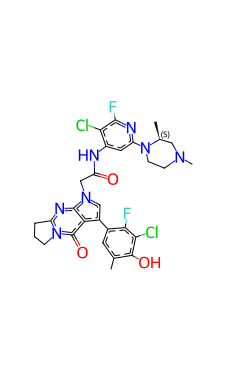 Cc1cc(-c2cn(CC(=O)Nc3cc(N4CCN(C)C[C@@H]4C)nc(F)c3Cl)c3nc4n(c(=O)c23)CCC4)c(F)c(Cl)c1O